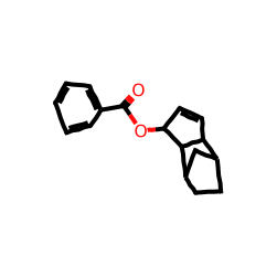 O=C(OC1C=CC2C3CCC(C3)C12)c1ccccc1